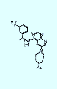 CC(=O)N1CCN(c2cnc3ncnc(NC(C)c4cccc(C(F)(F)F)c4)c3c2)CC1